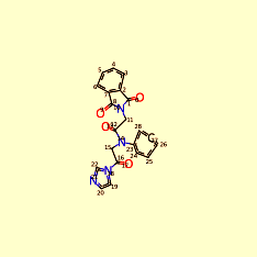 O=C1c2ccccc2C(=O)N1CC(=O)N(CC(=O)n1ccnc1)c1ccccc1